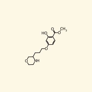 COC(=O)c1ccc(OCCCC2COCCN2)cc1O